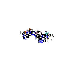 CN/C=C(\C=N)c1cc(Nc2ncc(Br)c(Nc3ccc4nccnc4c3P(C)C)n2)c(OC)cc1N1CCC(N(C)C(C)C(F)(F)F)CC1